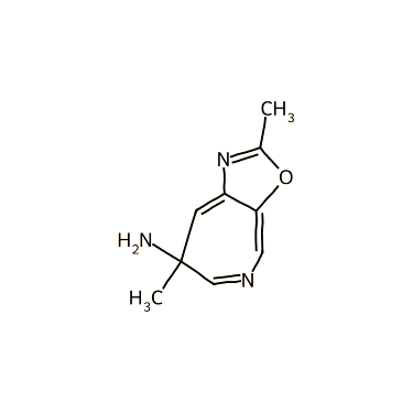 Cc1nc2c(o1)=CN=CC(C)(N)C=2